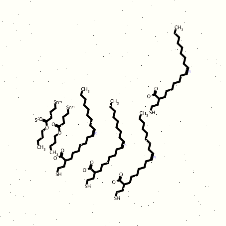 CCCCCCCC/C=C\CCCCCCC(CCS)C(=O)[O-].CCCCCCCC/C=C\CCCCCCC(CCS)C(=O)[O-].CCCCCCCC/C=C\CCCCCCC(CCS)C(=O)[O-].CCCCCCCC/C=C\CCCCCCC(CCS)C(=O)[O-].CCCCOC(=O)CC[CH2][Sn+].CCCCOC(=O)CC[CH2][Sn+].[S-2]